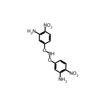 Nc1cc(OBOc2ccc([N+](=O)[O-])c(N)c2)ccc1[N+](=O)[O-]